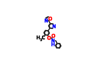 Cc1ccc(-c2cncc(-c3ncco3)c2)cc1OC(=O)NCc1ccccc1